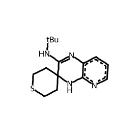 CC(C)(C)NC1=Nc2cccnc2NC12CCSCC2